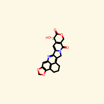 O=C1OCc2c(cc3n(c2=O)Cc2c-3nc3cc4c(c5c3c2CCC5)OCO4)[C@@H]1O